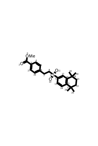 COC(=O)c1ccc(CCS(=O)(=O)c2ccc3c(c2)C(C)(C)CCC3(C)C)cc1